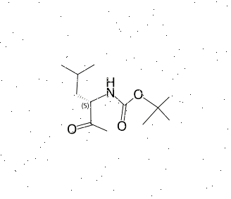 CC(=O)[C@H](CC(C)C)NC(=O)OC(C)(C)C